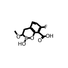 COC1Cc2ccc(F)c(C(=O)O)c2OB1O